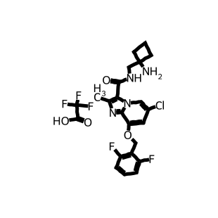 Cc1nc2c(OCc3c(F)cccc3F)cc(Cl)cn2c1C(=O)NCC1(N)CCC1.O=C(O)C(F)(F)F